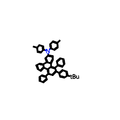 Cc1ccc(N(C2=CCC(C)C=C2)c2ccc3c(c2)c2ccccc2c2c(-c4ccccc4)cc(-c4ccc(C(C)(C)C)cc4)c(-c4ccccc4)c32)cc1